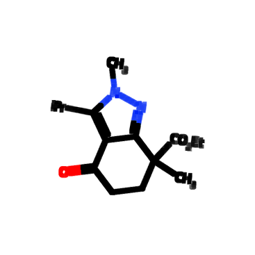 CCOC(=O)C1(C)CCC(=O)c2c1nn(C)c2C(C)C